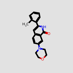 Cc1ccccc1-c1cc2ccc(N3CCOCC3)cc2c(=O)[nH]1